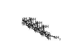 COc1ccc(NC(=O)[C@@H](CCCNC(=N)N)NC(=O)c2cc(NC(=O)[C@@H](CCCNC(=N)N)NC(=O)c3cc(NC(=O)[C@@H](CCCNC(=N)N)NC(=O)c4cc(NC(=O)[C@@H](C)NC(C)=O)ccc4OC)ccc3OC)ccc2OC)cc1C(=O)NCCCCCN